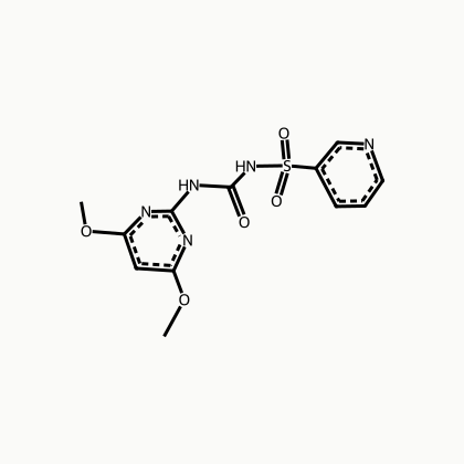 COc1cc(OC)nc(NC(=O)NS(=O)(=O)c2cccnc2)n1